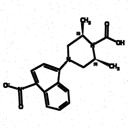 C[C@@H]1CN(c2ccc([N+](=O)[O-])c3ccccc23)C[C@H](C)N1C(=O)O